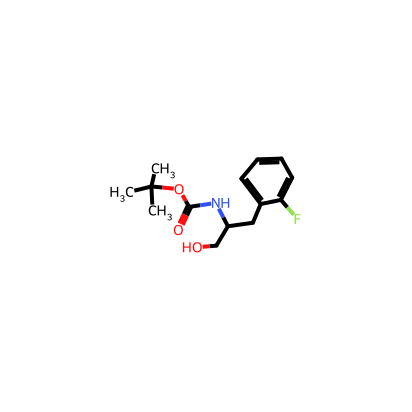 CC(C)(C)OC(=O)NC(CO)Cc1ccccc1F